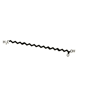 CCCCCCC=CCCCCCCCCCC=CCCC=CCCCC(=O)O